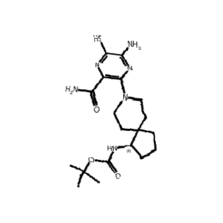 CC(C)(C)OC(=O)N[C@@H]1CCCC12CCN(c1nc(N)c(S)nc1C(N)=O)CC2